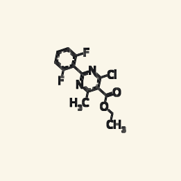 CCOC(=O)c1c(C)nc(-c2c(F)cccc2F)nc1Cl